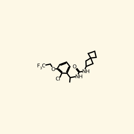 CC(NC(=O)NC1CC2(CCC2)C1)c1cccc(OCC(F)(F)F)c1Cl